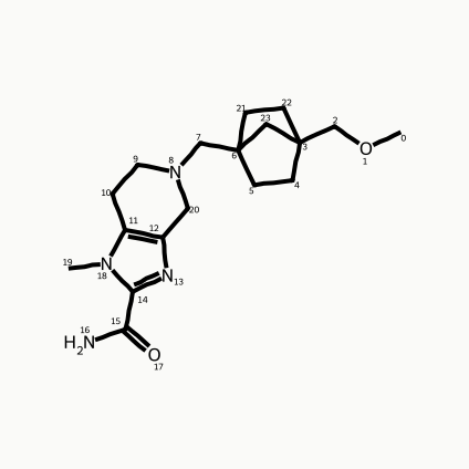 COCC12CCC(CN3CCc4c(nc(C(N)=O)n4C)C3)(CC1)C2